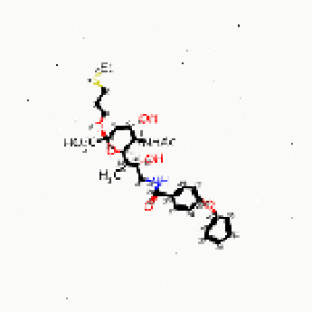 CCSCCCO[C@]1(C(=O)O)C[C@H](O)C(NC(C)=O)C([C@H](C)[C@H](O)CNC(=O)c2ccc(Oc3ccccc3)cc2)O1